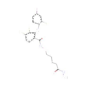 O=C(CCCCONC(=O)c1ccc(F)c(F)c1Nc1ccc(I)cc1F)NO